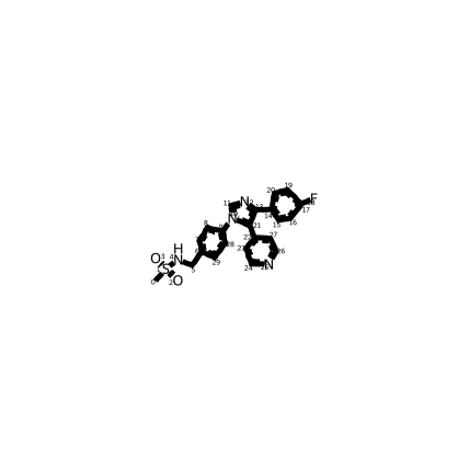 CS(=O)(=O)NCc1ccc(-n2cnc(-c3ccc(F)cc3)c2-c2ccncc2)cc1